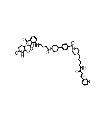 O=C(/C=C/c1cccnc1)NCCCCC1CCN(C(=O)c2ccc(C3CCN(C(=O)CCCNc4cccc5c4C(=O)N(C4CCC(=O)NC4=O)C5=O)CC3)cc2)CC1